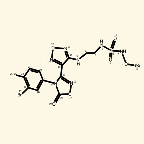 CC(C)(C)ONS(=O)(=O)NCCNc1nonc1-c1noc(=O)n1-c1ccc(F)c(Br)c1